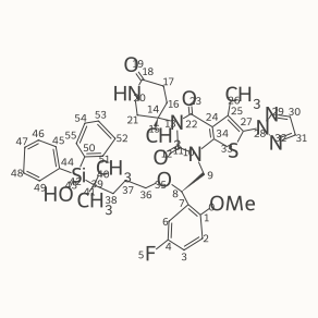 COc1ccc(F)cc1[C@H](Cn1c(=O)n([C@@]2(C)CCC(=O)NC2)c(=O)c2c(C)c(-n3nccn3)sc21)OCCCC(C)(C)[Si](O)(c1ccccc1)c1ccccc1